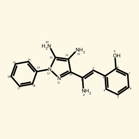 N/C(=C\c1ccccc1O)c1nn(-c2ccccc2)c(N)c1N